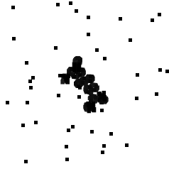 N#Cc1ccc2c3c1ccc1c(-c4c5ccccc5c(-c5ccc(-c6cc(-c7ccccn7)cc(-c7ccccn7)c6)c6ccccc56)c5ccccc45)ccc(c13)n2-c1ccccc1